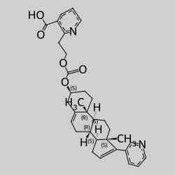 C[C@]12CC[C@H](OC(=O)OCCc3ncccc3C(=O)O)CC1=CC[C@@H]1[C@@H]2CC[C@]2(C)C(c3cccnc3)=CC[C@@H]12